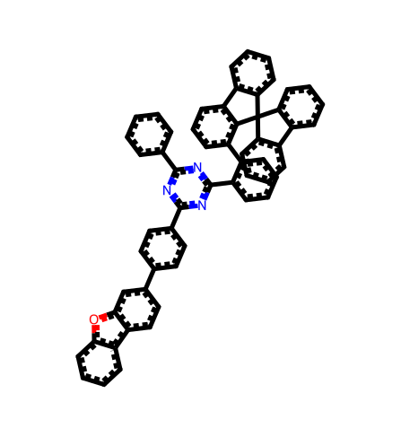 c1ccc(-c2nc(-c3ccc(-c4ccc5c(c4)oc4ccccc45)cc3)nc(-c3ccccc3-c3cccc4c3C3(c5ccccc5-c5ccccc53)c3ccccc3-4)n2)cc1